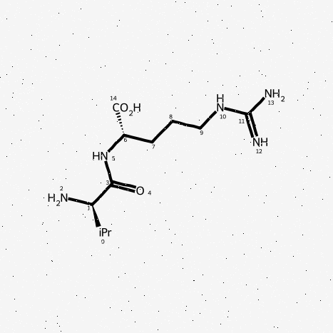 CC(C)[C@@H](N)C(=O)N[C@@H](CCCNC(=N)N)C(=O)O